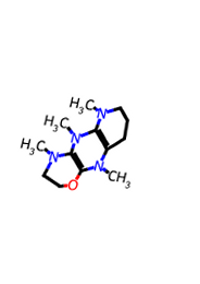 CN1CCCC2=C1N(C)C1=C(OCCN1C)N2C